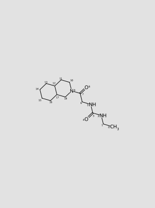 CCNC(=O)NCC(=O)N1CCC2CCCCC2C1